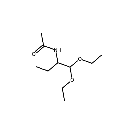 CCOC(OCC)C(CC)NC(C)=O